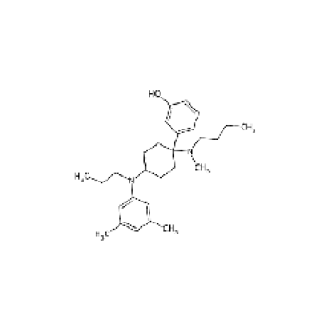 CCCCN(C)C1(c2cccc(O)c2)CCC(N(CCC)c2cc(C)cc(C)c2)CC1